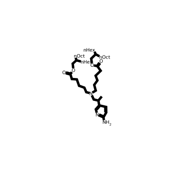 CCCCCCCCC(CCCCCC)COC(=O)CCCCCN(CCCCCC(=O)OCC(CCCCCC)CCCCCCCC)CC(C)c1ccc(N)nc1